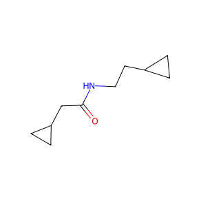 O=C(CC1CC1)NCCC1CC1